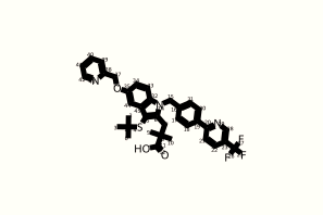 CC(C)(C)Sc1c(CC(C)(C)C(=O)O)n(Cc2ccc(-c3ccc(C(F)(F)F)cn3)cc2)c2ccc(OCc3ccccn3)cc12